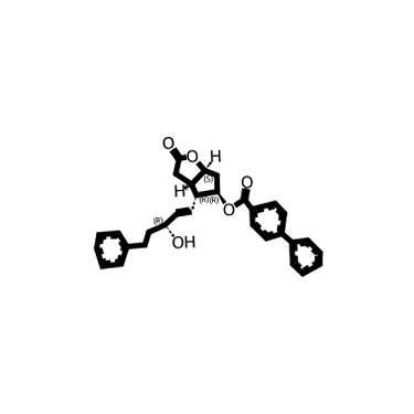 O=C1C[C@@H]2[C@@H](C=C[C@H](O)CCc3ccccc3)[C@H](OC(=O)c3ccc(-c4ccccc4)cc3)C[C@@H]2O1